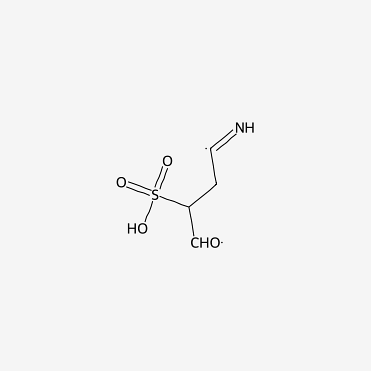 N=[C]CC([C]=O)S(=O)(=O)O